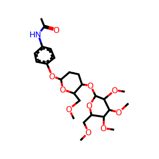 COCC1OC(Oc2ccc(NC(C)=O)cc2)CCC1OC1OC(COC)C(OC)C(OC)C1OC